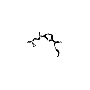 CCOC(=O)c1csc(N(C)CC[S+](C)[O-])n1